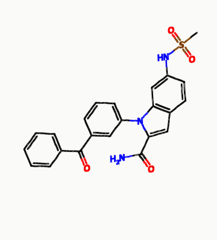 CS(=O)(=O)Nc1ccc2cc(C(N)=O)n(-c3cccc(C(=O)c4ccccc4)c3)c2c1